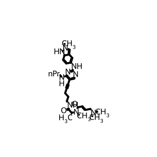 CCCNc1nc(NC2=CC3=CN(C)NC3C=C2)ncc1C#CCCCNC(=O)[C@H](C)N(C)C(=O)/C=C/CN(C)C